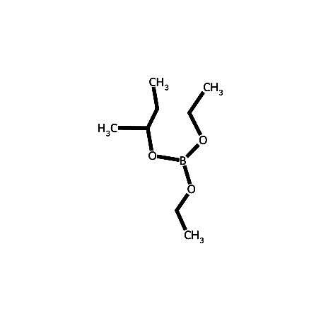 CCOB(OCC)OC(C)CC